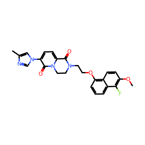 COc1ccc2c(OCCN3CCn4c(ccc(-n5cnc(C)c5)c4=O)C3=O)cccc2c1F